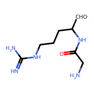 N=C(N)NCCCC([C]=O)NC(=O)CN